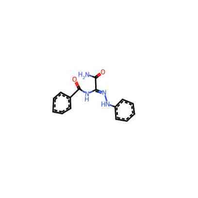 NC(=O)C(=NNc1ccccc1)NC(=O)c1ccccc1